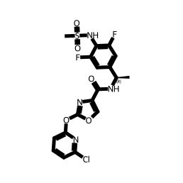 C[C@@H](NC(=O)c1coc(Oc2cccc(Cl)n2)n1)c1cc(F)c(NS(C)(=O)=O)c(F)c1